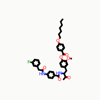 CCCCCCCOc1ccc(C(=O)Oc2ccc(CC(NC(=O)c3ccc(NC(=O)Cc4cccc(F)c4)cc3)C(C)=O)cc2OC)cc1